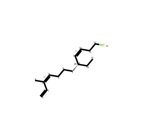 C=C/C(C)=C\CCC[C@H](/C=C\CCF)CC